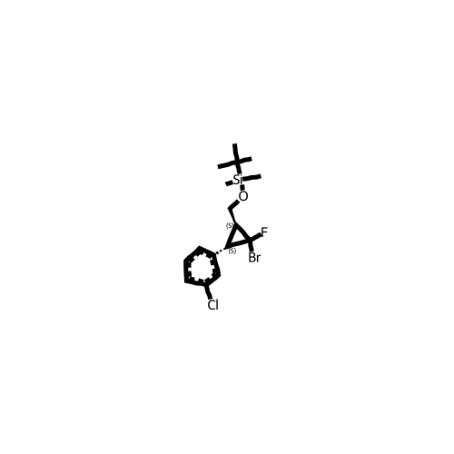 CC(C)(C)[Si](C)(C)OC[C@@H]1[C@@H](c2cccc(Cl)c2)C1(F)Br